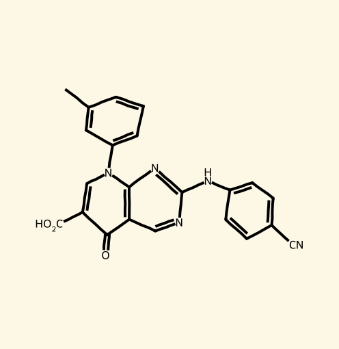 Cc1cccc(-n2cc(C(=O)O)c(=O)c3cnc(Nc4ccc(C#N)cc4)nc32)c1